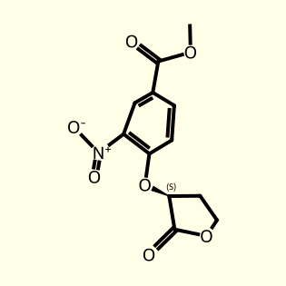 COC(=O)c1ccc(O[C@H]2CCOC2=O)c([N+](=O)[O-])c1